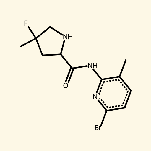 Cc1ccc(Br)nc1NC(=O)C1CC(C)(F)CN1